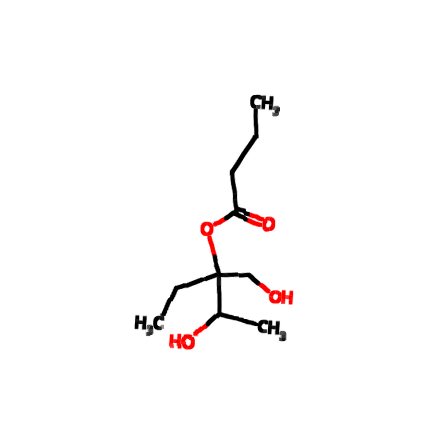 CCCC(=O)OC(CC)(CO)C(C)O